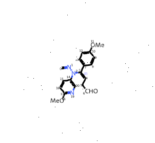 C=NN(/C(=C\CC=O)c1ccc(OC)cc1)c1ccc(OC)nc1